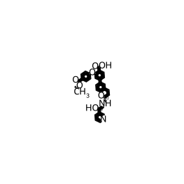 CCOC(=O)c1ccc(Oc2cc(-c3ccc4c(c3)CC[C@H](CNC[C@H](O)c3cccnc3)O4)ccc2C(=O)O)cc1